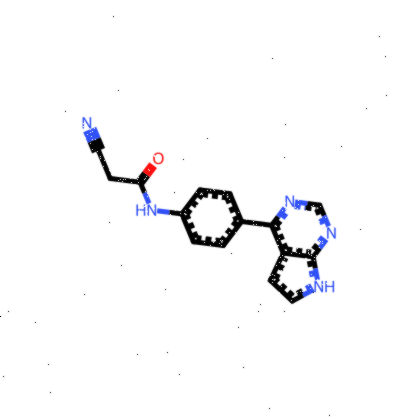 N#CCC(=O)Nc1ccc(-c2ncnc3[nH]ccc23)cc1